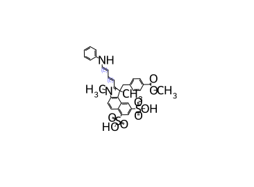 COC(=O)c1ccc(CC2(C)C(/C=C/C=C/Nc3ccccc3)=[N+](C)c3ccc4c(S(=O)(=O)O)cc(S(=O)(=O)O)cc4c32)cc1